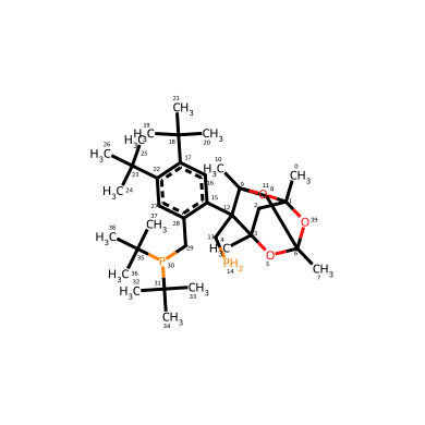 CC12CC3(C)OC(C)(CC(C)(O1)C3(CP)c1cc(C(C)(C)C)c(C(C)(C)C)cc1CP(C(C)(C)C)C(C)(C)C)O2